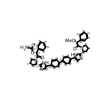 CO[C@@H](C(=O)N1CCC[C@H]1c1ncc(-c2ccc(-c3ccc(-c4cnc([C@@H]5CCCN5C(=O)[C@H](OC(N)=O)c5ccccc5)[nH]4)cc3)cc2)[nH]1)c1ccccc1